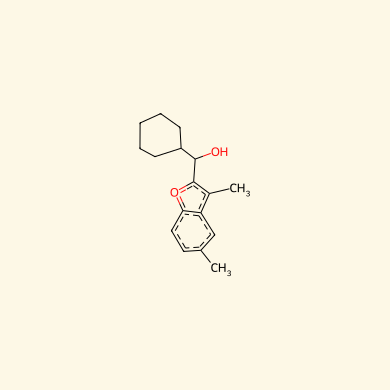 Cc1ccc2oc(C(O)C3CCCCC3)c(C)c2c1